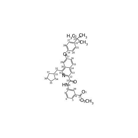 COC(=O)c1cccc(NC(=O)c2cc3ccc(Oc4ccc(C(C)(C)C)cc4)cc3c(CC3CCCC3)n2)c1